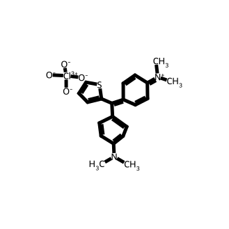 CN(C)c1ccc(C(=C2C=CC(=[N+](C)C)C=C2)c2cccs2)cc1.[O-][Cl+3]([O-])([O-])[O-]